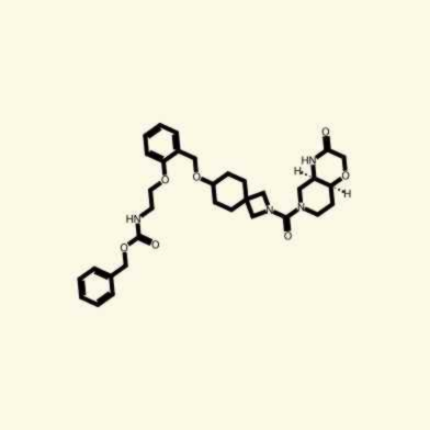 O=C1CO[C@H]2CCN(C(=O)N3CC4(CCC(OCc5ccccc5OCCNC(=O)OCc5ccccc5)CC4)C3)C[C@H]2N1